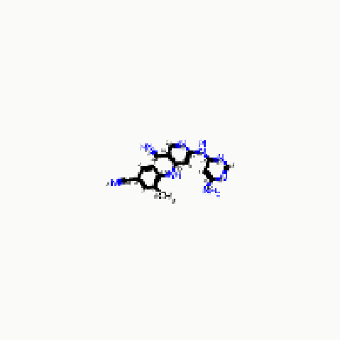 Cc1cc(C#N)ccc1Nc1cc(Nc2cc(N)ncn2)ncc1C=N